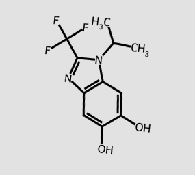 CC(C)n1c(C(F)(F)F)nc2cc(O)c(O)cc21